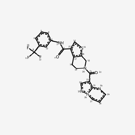 O=C(Nc1cccc(C(F)(F)F)c1)c1csc2c1CCN(C(=O)c1cnn3cccnc13)C2